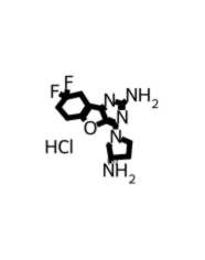 Cl.Nc1nc(N2CC[C@@H](N)C2)c2oc3c(c2n1)CC(F)(F)CC3